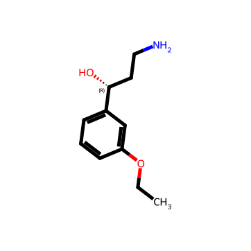 CCOc1cccc([C@H](O)CCN)c1